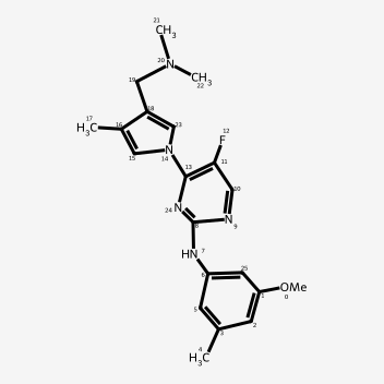 COc1cc(C)cc(Nc2ncc(F)c(-n3cc(C)c(CN(C)C)c3)n2)c1